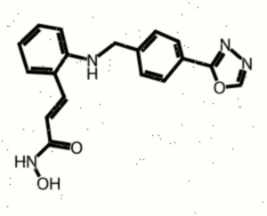 O=C(/C=C/c1ccccc1NCc1ccc(-c2nnco2)cc1)NO